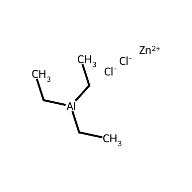 C[CH2][Al]([CH2]C)[CH2]C.[Cl-].[Cl-].[Zn+2]